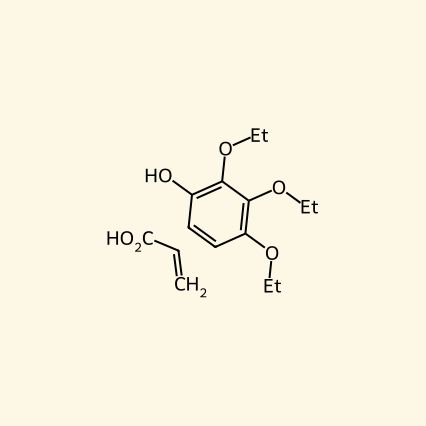 C=CC(=O)O.CCOc1ccc(O)c(OCC)c1OCC